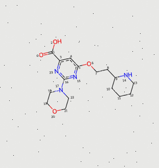 O=C(O)c1cc(OCCC2CCCCN2)nc(N2CCOCC2)n1